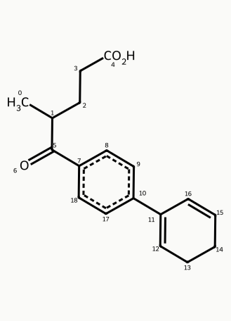 CC(CCC(=O)O)C(=O)c1ccc(C2=CCCC=C2)cc1